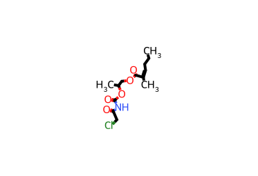 CCCC=C(C)C(=O)OCC(C)OC(=O)NC(=O)CCl